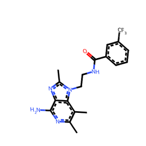 Cc1nc(N)c2nc(C)n(CCNC(=O)c3cccc(C(F)(F)F)c3)c2c1C